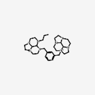 CCCN1CCN2CCN3CCN(Cc4cccc(C[N+]56CCN7CCN8CCN(CC5)C6C87)c4)C1C23